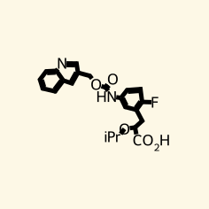 CC(C)OC(Cc1cc(NC(=O)OCc2cnc3ccccc3c2)ccc1F)C(=O)O